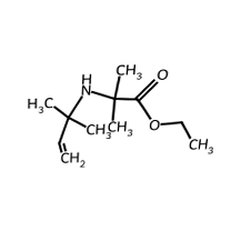 C=CC(C)(C)NC(C)(C)C(=O)OCC